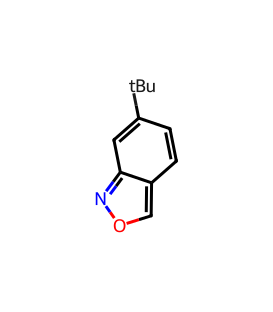 CC(C)(C)c1ccc2conc2c1